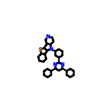 c1ccc(-c2cc(-c3ccccc3)nc(-c3cccc(-n4c5ccncc5c5sc6ccccc6c54)c3)n2)cc1